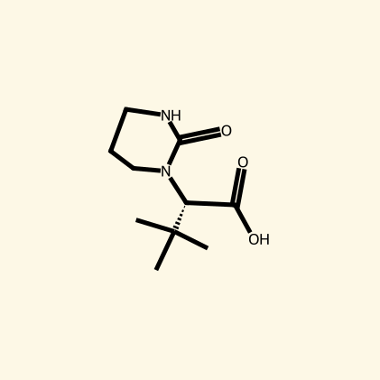 CC(C)(C)[C@@H](C(=O)O)N1CCCNC1=O